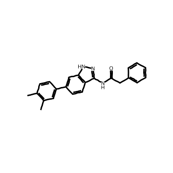 Cc1ccc(-c2ccc3c(NC(=O)Cc4ccccc4)n[nH]c3c2)cc1C